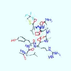 CC(=O)N[C@@H](CC(C)C)C(=O)N[C@@H](Cc1ccc(O)cc1)C(=O)N[C@@H](CCCNC(=N)N)C(=O)N[C@@H](C)C(=O)N[C@@H](CC(N)=O)C(=O)N[C@H](C(=O)SCC(F)(F)F)C(C)C